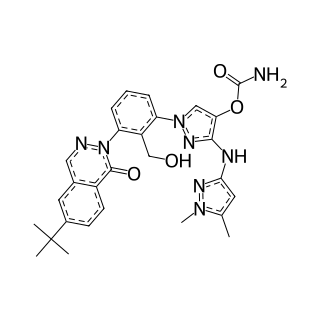 Cc1cc(Nc2nn(-c3cccc(-n4ncc5cc(C(C)(C)C)ccc5c4=O)c3CO)cc2OC(N)=O)nn1C